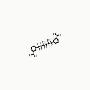 O=C(Cl)c1cccc(C(F)(F)C(F)(F)C(F)(F)C(F)(F)C(F)(F)C(F)(F)c2cccc(C(=O)Cl)c2)c1